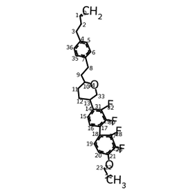 C=CCCc1ccc(CCC2CCC(c3ccc(-c4ccc(OCC)c(F)c4F)c(F)c3F)CO2)cc1